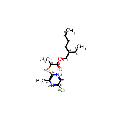 CCCCC(CC)COC(=O)C(C)Sc1ncc(Cl)nc1C